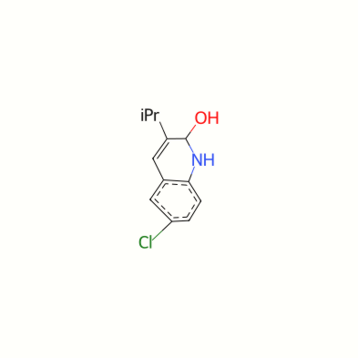 CC(C)C1=Cc2cc(Cl)ccc2NC1O